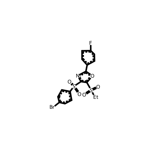 CCS(=O)(=O)c1oc(-c2ccc(F)cc2)nc1S(=O)(=O)c1ccc(Br)cc1